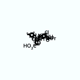 Cc1ccc(Cn2c(=O)n(C[C@H](C)C(=O)O)c(=O)[nH]/c2=N\c2ccc(NC(=O)C(C)C)c(Cl)c2)cc1